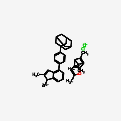 CC1=C2c3oc(C)cc3C1[Si]2(C)C.CC1=Cc2c(-c3ccc(C45CC6CC(CC(C6)C4)C5)cc3)cccc2[CH]1[Zr+2].[Cl-].[Cl-]